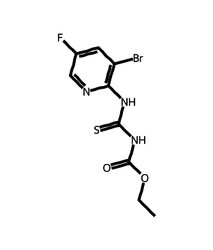 CCOC(=O)NC(=S)Nc1ncc(F)cc1Br